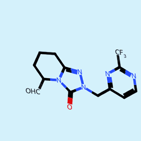 O=CC1CCCc2nn(Cc3ccnc(C(F)(F)F)n3)c(=O)n21